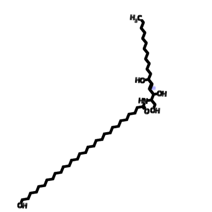 CCCCCCCCCCCCC(O)/C=C/C(O)C(CO)NC(=O)CCCCCCCCCCCCCCCCCCCCCCCCCCCCCO